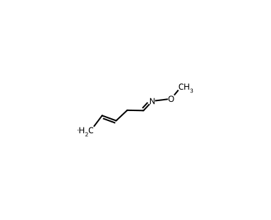 [CH2]/C=C/C/C=N/OC